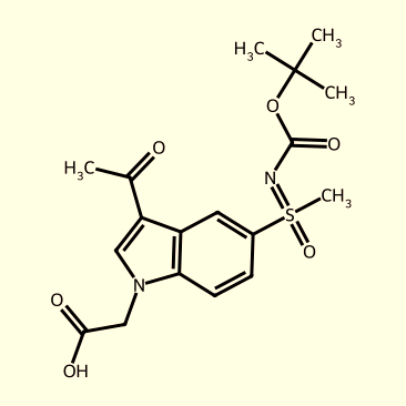 CC(=O)c1cn(CC(=O)O)c2ccc(S(C)(=O)=NC(=O)OC(C)(C)C)cc12